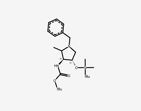 CC1[C@H](NC(=O)OC(C)(C)C)[C@@H](O[Si](C)(C)C(C)(C)C)CN1Cc1ccccc1